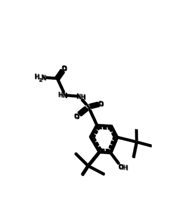 CC(C)(C)c1cc(S(=O)(=O)NNC(N)=O)cc(C(C)(C)C)c1O